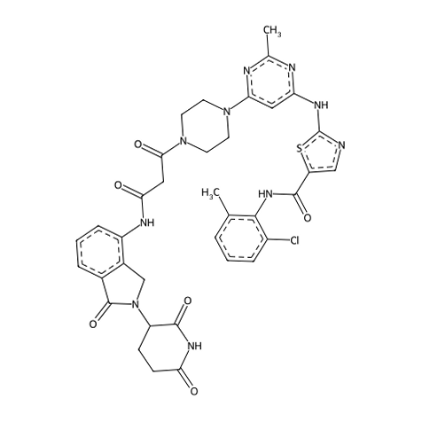 Cc1nc(Nc2ncc(C(=O)Nc3c(C)cccc3Cl)s2)cc(N2CCN(C(=O)CC(=O)Nc3cccc4c3CN(C3CCC(=O)NC3=O)C4=O)CC2)n1